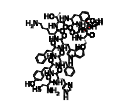 C[C@@H](O)[C@H](NC(=O)[C@H](Cc1ccccc1)NC(=O)[C@@H](NC(=O)[C@H](CCCCN)NC(=O)[C@@H](Cc1c[nH]c2ccccc12)NC(=O)[C@H](Cc1ccccc1)NC(=O)[C@H](Cc1ccccc1)NC(=O)[C@H](Cc1ccc(O)cc1)NC(=O)[C@H](Cc1c[nH]cn1)NC(=O)[C@@H](N)CS)[C@@H](C)O)C(=O)N[C@@H](CO)C(=O)N[C@@H](CS)C(=O)O